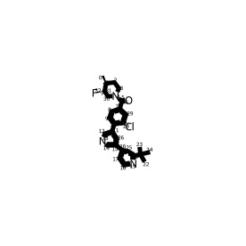 C[C@H]1CCN(C(=O)c2ccc(-c3cncc(-c4ccnc(C(C)(C)C)c4)c3)c(Cl)c2)C[C@@H]1F